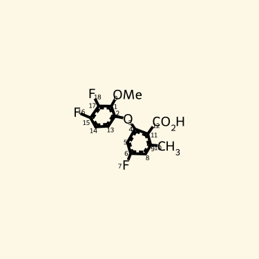 COc1c(Oc2cc(F)cc(C)c2C(=O)O)ccc(F)c1F